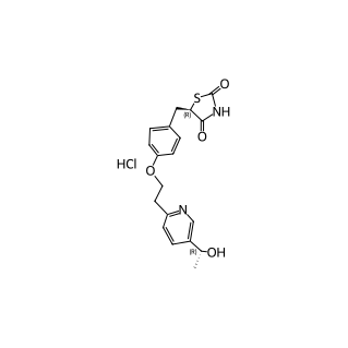 C[C@@H](O)c1ccc(CCOc2ccc(C[C@H]3SC(=O)NC3=O)cc2)nc1.Cl